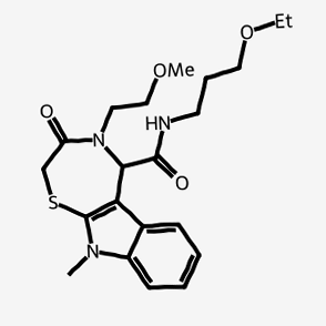 CCOCCCNC(=O)C1c2c(n(C)c3ccccc23)SCC(=O)N1CCOC